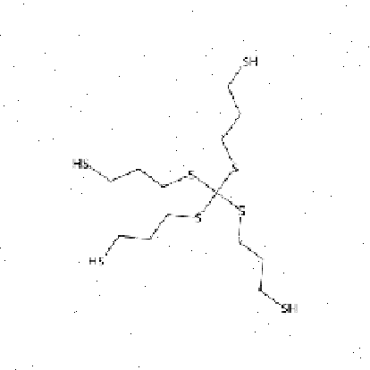 SCCCSC(SCCCS)(SCCCS)SCCCS